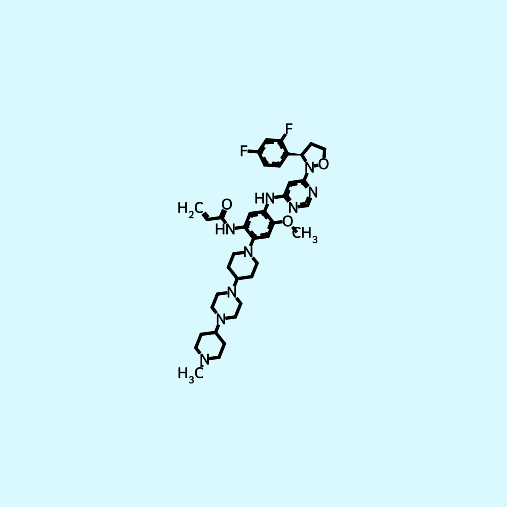 C=CC(=O)Nc1cc(Nc2cc(N3OCC[C@@H]3c3ccc(F)cc3F)ncn2)c(OC)cc1N1CCC(N2CCN(C3CCN(C)CC3)CC2)CC1